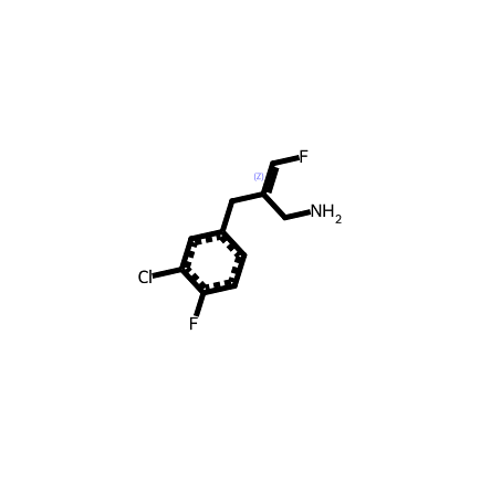 NC/C(=C\F)Cc1ccc(F)c(Cl)c1